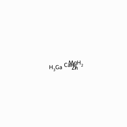 [CaH2].[GaH3].[MgH2].[Zn]